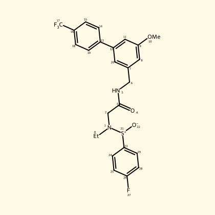 CCN(CC(=O)NCc1cc(OC)cc(-c2ccc(C(F)(F)F)cc2)c1)[S+]([O-])c1ccc(F)cc1